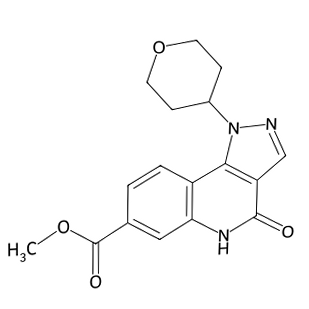 COC(=O)c1ccc2c(c1)[nH]c(=O)c1cnn(C3CCOCC3)c12